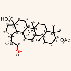 CC(=O)O[C@@H]1CC[C@@]2(C)C(CC[C@]3(C)C2CCC2C4[C@H]([C@@H](C)CO)CC[C@]4(C(=O)O)CC[C@]23C)C1(C)C